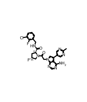 Cc1ncc(-c2cn(CC(=O)N3C[C@H](F)C[C@H]3C(=O)NCc3cccc(Cl)c3F)c3ncnc(N)c23)cn1